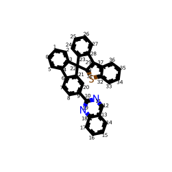 c1ccc2c(c1)-c1ccc(-c3ncc4ccccc4n3)cc1C21c2ccccc2-c2c1sc1ccccc21